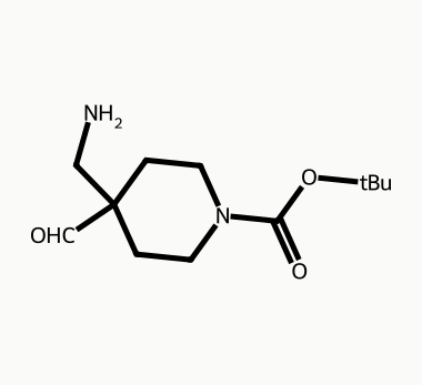 CC(C)(C)OC(=O)N1CCC(C=O)(CN)CC1